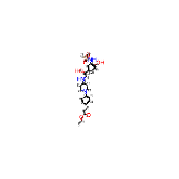 CCOC(=O)CCc1ccc(N2CCC(NC[C@@H](O)c3ccc(O)c(NS(C)(=O)=O)c3)CC2)cc1